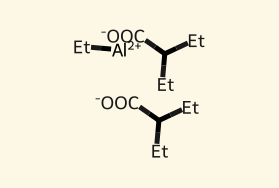 CCC(CC)C(=O)[O-].CCC(CC)C(=O)[O-].C[CH2][Al+2]